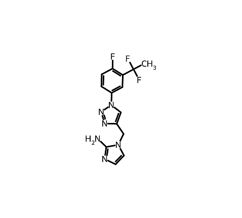 CC(F)(F)c1cc(-n2cc(Cn3ccnc3N)nn2)ccc1F